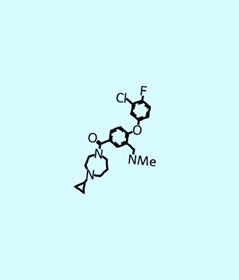 CNCc1cc(C(=O)N2CCCN(C3CC3)CC2)ccc1Oc1ccc(F)c(Cl)c1